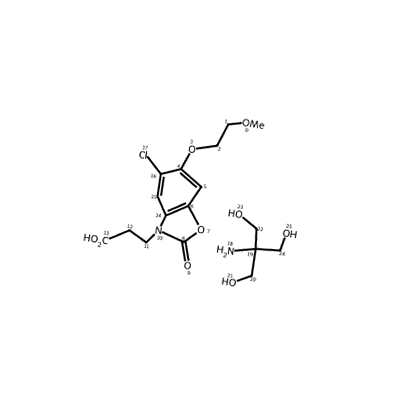 COCCOc1cc2oc(=O)n(CCC(=O)O)c2cc1Cl.NC(CO)(CO)CO